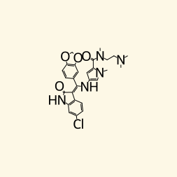 CN(C)CCN(C)C(=O)c1cc(NC(=C2C(=O)Nc3cc(Cl)ccc32)c2ccc3c(c2)OCO3)cn1C